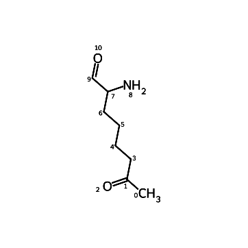 CC(=O)CCCCC(N)C=O